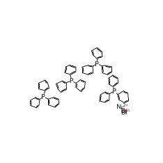 [Br-].[Br-].[Ni+2].c1ccc(P(c2ccccc2)c2ccccc2)cc1.c1ccc(P(c2ccccc2)c2ccccc2)cc1.c1ccc(P(c2ccccc2)c2ccccc2)cc1.c1ccc(P(c2ccccc2)c2ccccc2)cc1